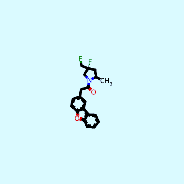 CC1C[C@](F)(CF)CN1C(=O)Cc1ccc2oc3ccccc3c2c1